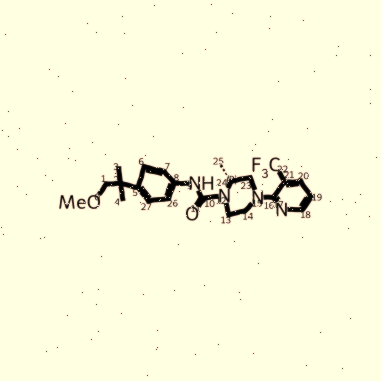 COCC(C)(C)c1ccc(NC(=O)N2CCN(c3ncccc3C(F)(F)F)C[C@H]2C)cc1